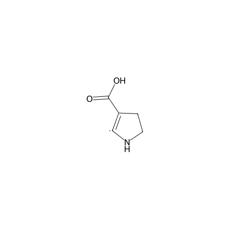 O=C(O)C1=[C]NCC1